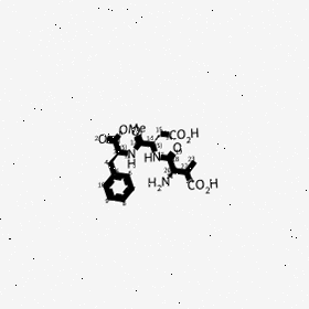 COC(=O)[C@H](Cc1ccccc1)NC(=O)[C@H](CC(=O)O)NC(=O)[C@H](N)C(C)C(=O)O